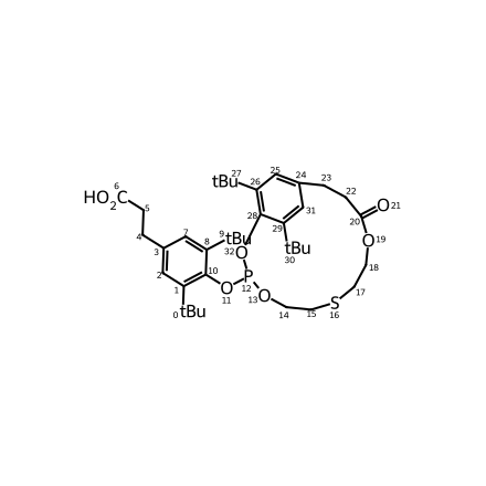 CC(C)(C)c1cc(CCC(=O)O)cc(C(C)(C)C)c1OP1OCCSCCOC(=O)CCc2cc(C(C)(C)C)c(c(C(C)(C)C)c2)O1